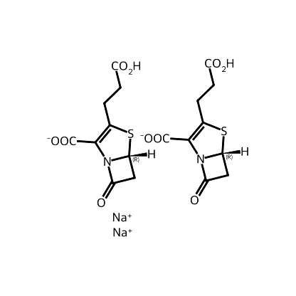 O=C(O)CCC1=C(C(=O)[O-])N2C(=O)C[C@H]2S1.O=C(O)CCC1=C(C(=O)[O-])N2C(=O)C[C@H]2S1.[Na+].[Na+]